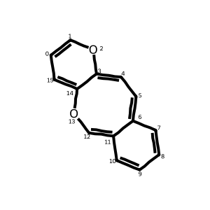 c1coc2ccc3ccccc3coc-2c1